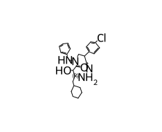 N#CC(CN(Nc1ccccc1)C(=O)C(O)[C@H](N)CC1CCCCC1)c1ccc(Cl)cc1